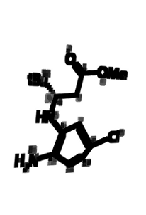 COC(=O)C[C@H](Nc1cc(Cl)ccc1N)C(C)(C)C